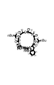 CCCC[C@@H](C)C[C@@H]1NC(=O)C(Cc2ccccc2)N(C)C(=O)[C@H](CCC)N[C@](C=O)(CC(C)C)N(C)C(=O)[C@H](C[C@H](C)CCCC)NC(=O)[C@@H](C)OC(=O)[C@H](C)N(C)C1=O